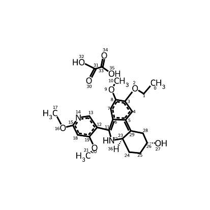 CCOc1cc2c(cc1OC)=C(c1cnc(OC)cc1OC)N[C@@H]1CC[C@@H](O)CC=21.O=C(O)C(=O)O